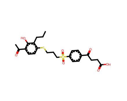 CCCc1c(SCCCS(=O)(=O)c2ccc(C(=O)CCC(=O)O)cc2)ccc(C(C)=O)c1O